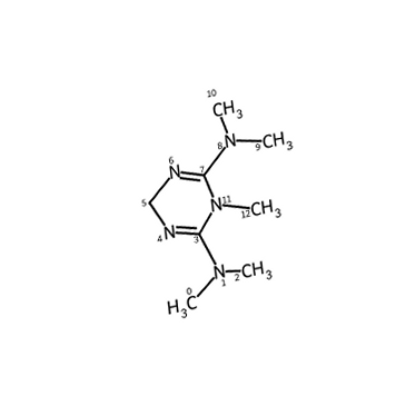 CN(C)C1=NCN=C(N(C)C)N1C